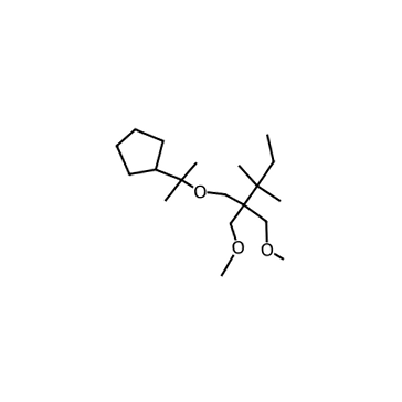 CCC(C)(C)C(COC)(COC)COC(C)(C)C1CCCC1